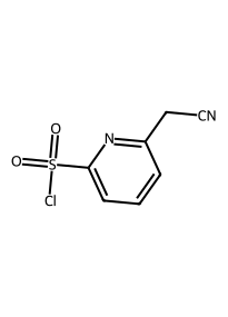 N#CCc1cccc(S(=O)(=O)Cl)n1